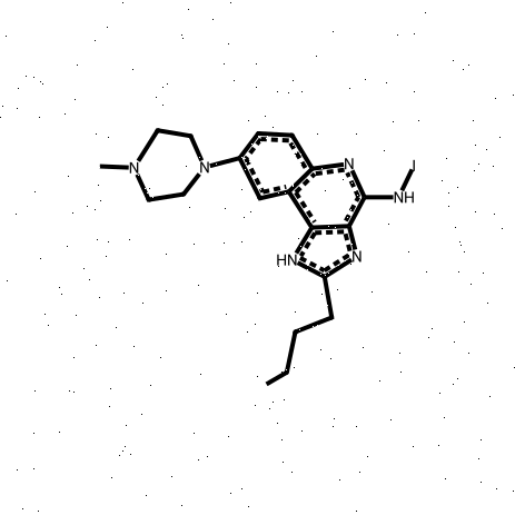 CCCCc1nc2c(NI)nc3ccc(N4CCN(C)CC4)cc3c2[nH]1